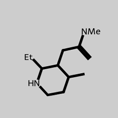 C=C(CC1C(C)CCNC1CC)NC